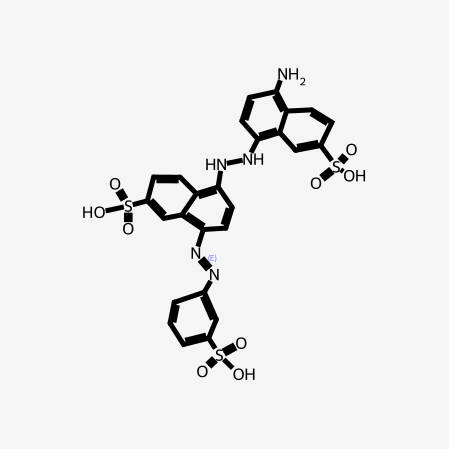 Nc1ccc(NNc2ccc(/N=N/c3cccc(S(=O)(=O)O)c3)c3cc(S(=O)(=O)O)ccc23)c2cc(S(=O)(=O)O)ccc12